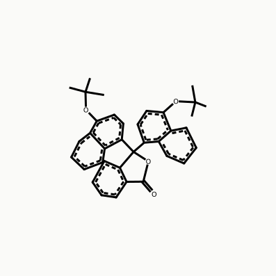 CC(C)(C)Oc1ccc(C2(c3ccc(OC(C)(C)C)c4ccccc34)OC(=O)c3ccccc32)c2ccccc12